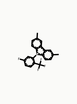 Cc1ccc2c(c1)c1cc(C)ccc1n2-c1cc(F)ccc1C(F)(F)F